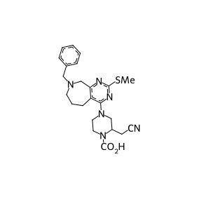 CSc1nc2c(c(N3CCN(C(=O)O)C(CC#N)C3)n1)CCCN(Cc1ccccc1)C2